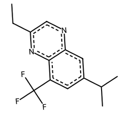 CCc1cnc2cc(C(C)C)cc(C(F)(F)F)c2n1